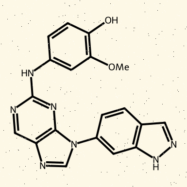 COc1cc(Nc2ncc3ncn(-c4ccc5cn[nH]c5c4)c3n2)ccc1O